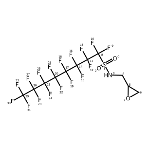 O=S(=O)(NCC1CO1)C(F)(F)C(F)(F)C(F)(F)C(F)(F)C(F)(F)C(F)(F)C(F)(F)C(F)(F)F